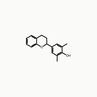 Cc1cc(C2CCc3ccccc3O2)cc(C)c1O